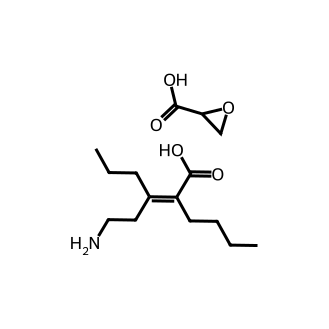 CCCCC(C(=O)O)=C(CCC)CCN.O=C(O)C1CO1